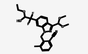 CCOC(O)C(F)(F)c1ccc2c(C(OC)OC)nn(Cc3c(C)cccc3C#N)c2c1